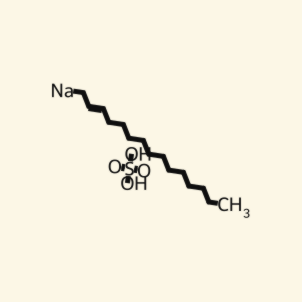 CCCCCCCCCCCCC=C[CH2][Na].O=S(=O)(O)O